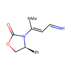 CN/C(=C\C=N)N1C(=O)OC[C@@H]1C(C)C